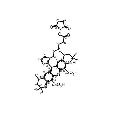 CC1CC(C)(C)Nc2c1cc1c(c2S(=O)(=O)O)Oc2c(S(=O)(=O)O)c3c(cc2=C1c1nccn1CCCCCC(=O)ON1C(=O)CCC1=O)C(C)CC(C)(C)N=3